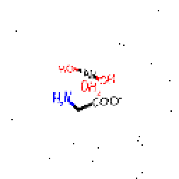 NCC(=O)[O-].O.[OH][Al+][OH]